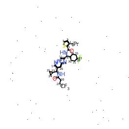 CC(C)c1ccsc1C(=O)N[C@H](c1cn2ncc(C(NC(=O)CCC(F)(F)F)C3CC3)cc2n1)C1CCC(F)(F)CC1